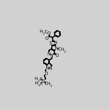 COC(=O)C(c1ccccc1)c1nc2c(s1)c1cnn(Cc3cccc4c3cnn4COCC[Si](C)(C)C)c(=O)c1n2C